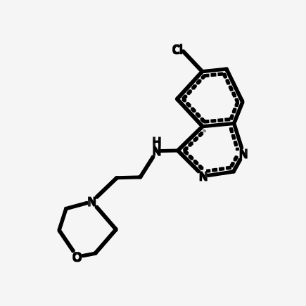 Clc1ccc2ncnc(NCCN3CCOCC3)c2c1